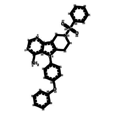 Nc1ncnc2c3c(n(-c4ccc(Oc5ccccc5)cc4)c12)CCN(S(=O)(=O)c1ccccc1)C3